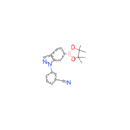 CC1(C)OB(c2ccc3cnn(-c4cccc(C#N)c4)c3c2)OC1(C)C